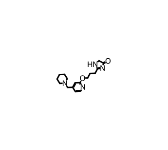 O=C1CNC(CCCOc2cc(CN3CCCCC3)ccn2)=N1